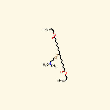 CCCCCC/C=C\COC(=O)CCCCCCCC(CCCCCCCC(=O)OC/C=C\CCCCCC)SSCCCN(C)C